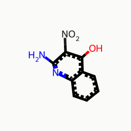 Nc1nc2ccccc2c(O)c1[N+](=O)[O-]